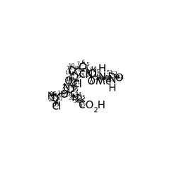 COc1nc(-c2cccc(-c3cccc4c3CC[C@@H]4Oc3nc(OCc4cncc(Cl)c4)c(CN4CC[C@H](C(=O)O)C4)cc3Cl)c2Cl)ccc1CNC[C@@H]1CCC(=O)N1